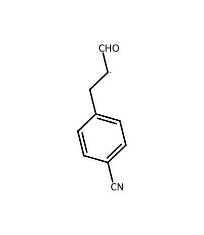 N#Cc1ccc(C[CH]C=O)cc1